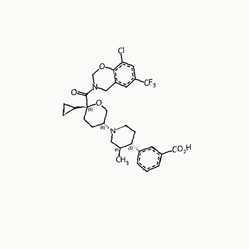 C[C@H]1CN([C@@H]2CC[C@@](C(=O)N3COc4c(Cl)cc(C(F)(F)F)cc4C3)(C3CC3)OC2)CC[C@@H]1c1cccc(C(=O)O)c1